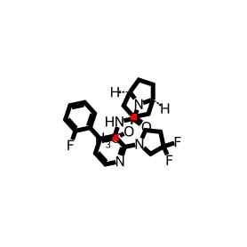 CO[C@@H]1C[C@H]2CC[C@@H](C1)N2C(=O)Nc1c(-c2ccccc2F)ccnc1N1CCC(F)(F)C1